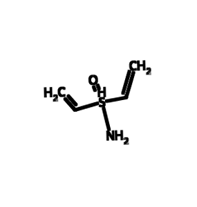 C=C[SH](N)(=O)C=C